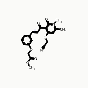 COC(=O)COc1cccc(/C=C/C(=O)c2c(OCC#N)cc(C)n(C)c2=O)c1